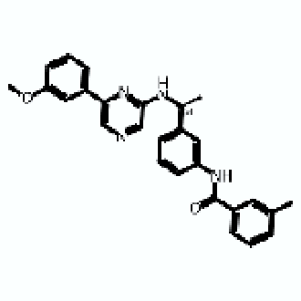 COc1cccc(-c2cncc(N[C@@H](C)c3cccc(NC(=O)c4cccc(C)c4)c3)n2)c1